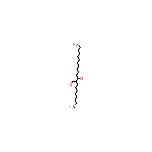 CCCCCCCCCCCC(=O)C([C]=O)CCCCCCCC